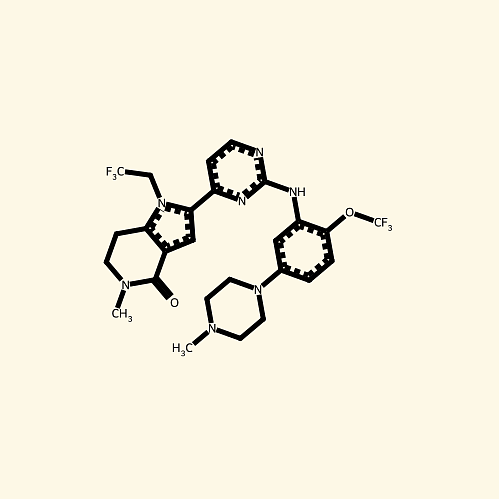 CN1CCN(c2ccc(OC(F)(F)F)c(Nc3nccc(-c4cc5c(n4CC(F)(F)F)CCN(C)C5=O)n3)c2)CC1